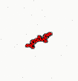 c1ccc(-c2ccc(N(c3ccccc3)c3ccc4c(c3)oc3ccc5c6cc7ccc(-c8ccc(-c9ccc(N(c%10ccccc%10)c%10ccc%11c(c%10)oc%10ccc%12c%13cc%14ccccc%14cc%13sc%12c%10%11)cc9)c9oc%10ccccc%10c89)cc7cc6sc5c34)cc2)cc1